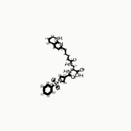 O=C(CCCCc1ccc2c(n1)NCCC2)NC[C@H](NC(=O)C1CN(S(=O)(=O)c2ccccc2)C1)C(=O)O